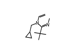 C=CN(CC1CC1)/C(=N\C)C(C)(C)C